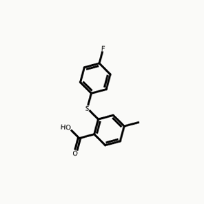 Cc1ccc(C(=O)O)c(Sc2ccc(F)cc2)c1